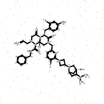 C=CCN1CC(=O)N2[C@@H](Cc3ccc(O)cc3F)C(=O)N(Cc3ccc(F)c(N4CC(N5C[C@@H]6CC5CC6N(C)C)C4)n3)C[C@@H]2N1C(=O)NCc1ccccc1